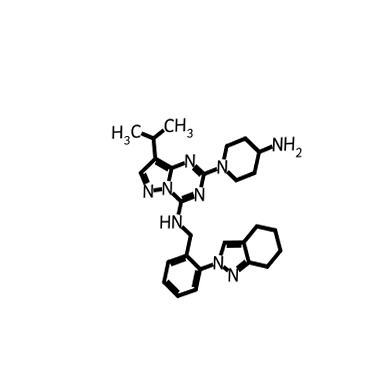 CC(C)c1cnn2c(NCc3ccccc3-n3cc4c(n3)CCCC4)nc(N3CCC(N)CC3)nc12